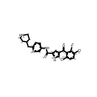 O=C(Nc1ccc(CC2CCNCC2)nc1)c1cc(C(=O)c2c(Cl)ccc(Cl)c2F)c[nH]1